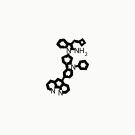 Nc1c(C=C2CCC2)c2ccccc2n1-c1ccc2c3cc(-c4cc5cccnc5c5ncccc45)ccc3n(-c3ccccc3)c2c1